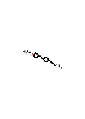 CCCCCC1CCC(CCc2ccc(OCC)cc2)CC1